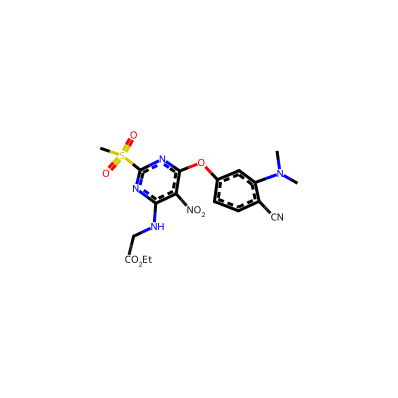 CCOC(=O)CNc1nc(S(C)(=O)=O)nc(Oc2ccc(C#N)c(N(C)C)c2)c1[N+](=O)[O-]